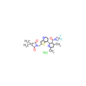 Cc1cc(C)c(C(=O)N2CC(F)(F)C2)c(-c2ccnc3cc(CN4C(=O)C5C(C4=O)C5(C)C)sc23)n1.Cl